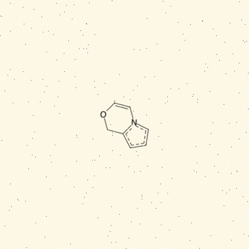 [C]1=Cn2cccc2CO1